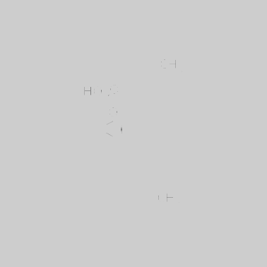 CCCCCCCCCc1cccc(OCC(=O)O)c1CCCCCCCCC